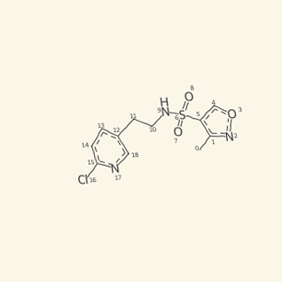 Cc1nocc1S(=O)(=O)NCCc1ccc(Cl)nc1